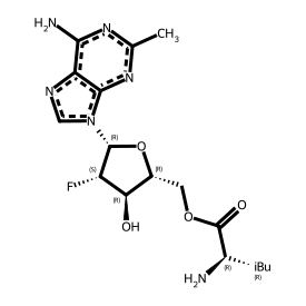 CC[C@@H](C)[C@@H](N)C(=O)OC[C@H]1O[C@@H](n2cnc3c(N)nc(C)nc32)[C@@H](F)[C@@H]1O